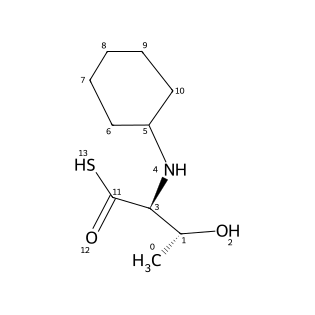 C[C@@H](O)[C@H](NC1CCCCC1)C(=O)S